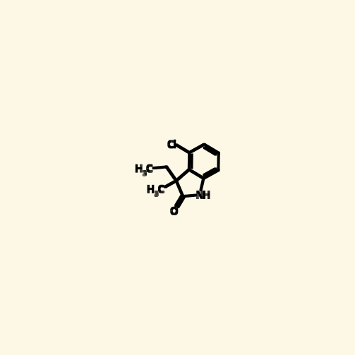 CCC1(C)C(=O)Nc2cccc(Cl)c21